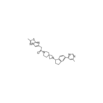 Cc1cc(-c2ccc3c(c2)CCC3N2CC3(CCN(C(=O)Cc4cn5nc(C)sc5n4)CC3)C2)ncn1